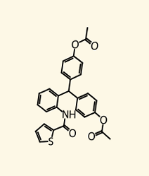 CC(=O)Oc1ccc(C(c2ccc(OC(C)=O)cc2)c2ccccc2NC(=O)c2cccs2)cc1